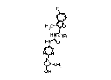 Cc1c([C@@H](NC(=O)Nc2cnc(N3CC(O)C3C)nc2)C(C)C)oc2ccc(F)cc12